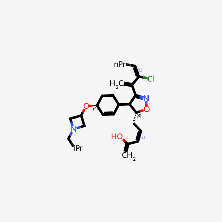 C=C(O)/C=C\C[C@H]1ON=C(C(=C)/C(Cl)=C\CCC)C1C1C=C[C@@H](OC2CN(CC(C)C)C2)CC1